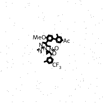 COc1ccc(-c2ccc(C(C)=O)cc2C)cc1-c1cnc(N(C)C)nc1CN1C(=O)O[C@H](c2cc(C)cc(C(F)(F)F)c2)C12CC2